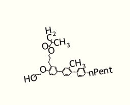 C=C(C)C(=O)OCCCc1cc(-c2ccc(-c3ccc(CCCCC)cc3)c(C)c2)ccc1OCCO